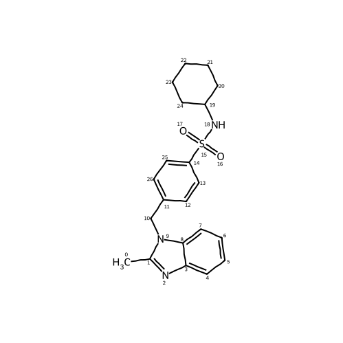 Cc1nc2ccccc2n1Cc1ccc(S(=O)(=O)NC2CCCCC2)cc1